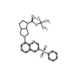 CC(C)(C)OC(=O)N1CCC2CN(c3cccc4cc(S(=O)(=O)c5ccccc5)cnc34)CC21